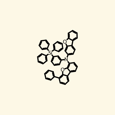 c1ccc(-c2cccc3c2oc2c(N(c4cccc([Si](c5ccccc5)(c5ccccc5)c5ccccc5)c4)c4ccc5c(c4)oc4ccccc45)cccc23)cc1